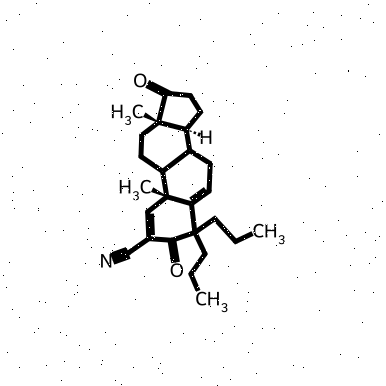 CCCC1(CCC)C(=O)C(C#N)=C[C@@]2(C)C1=CCC1C2CC[C@]2(C)C(=O)CC[C@@H]12